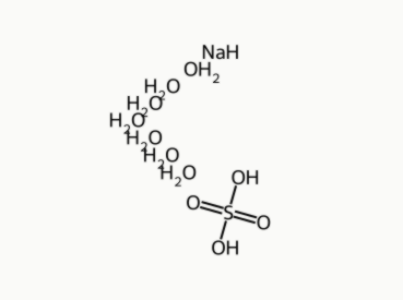 O.O.O.O.O.O.O.O=S(=O)(O)O.[NaH]